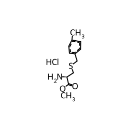 COC(=O)[C@@H](N)CSCc1ccc(C)cc1.Cl